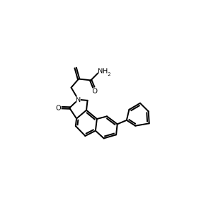 C=C(CN1Cc2c(ccc3ccc(-c4ccccc4)cc23)C1=O)C(N)=O